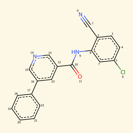 N#Cc1ccc(Cl)cc1NC(=O)c1cncc(-c2ccccc2)c1